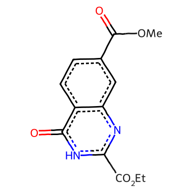 CCOC(=O)c1nc2cc(C(=O)OC)ccc2c(=O)[nH]1